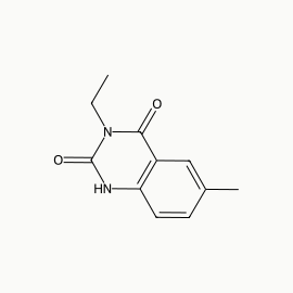 CCn1c(=O)[nH]c2ccc(C)cc2c1=O